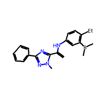 C=C(Nc1ccc(CC)c(B(C)C)c1)c1nc(-c2ccccc2)nn1C